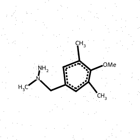 COc1c(C)cc(CN(C)N)cc1C